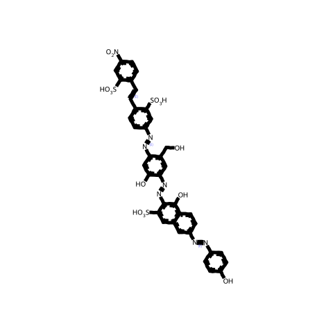 O=[N+]([O-])c1ccc(/C=C/c2ccc(/N=N/c3cc(O)c(N=Nc4c(S(=O)(=O)O)cc5cc(/N=N/c6ccc(O)cc6)ccc5c4O)cc3CO)cc2S(=O)(=O)O)c(S(=O)(=O)O)c1